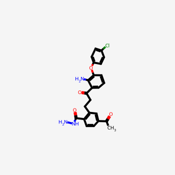 CC(=O)c1ccc(C(=O)NN)c(CCC(=O)c2cccc(Oc3ccc(Cl)cc3)c2N)c1